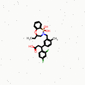 CCC1CN(Cc2cc(C(CC(=O)O)c3ccc(F)cc3F)ccc2C)S(O)(O)c2ccccc2O1